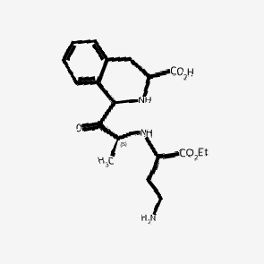 CCOC(=O)C(CCN)N[C@@H](C)C(=O)C1NC(C(=O)O)Cc2ccccc21